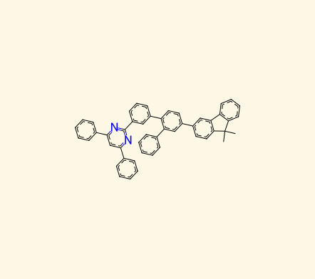 CC1(C)c2ccccc2-c2cc(-c3ccc(-c4cccc(-c5nc(-c6ccccc6)cc(-c6ccccc6)n5)c4)c(-c4ccccc4)c3)ccc21